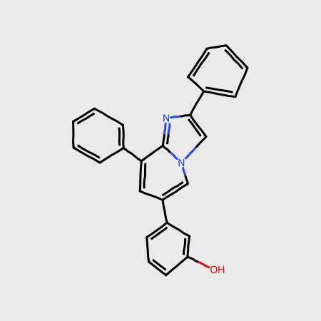 Oc1cccc(-c2cc(-c3ccccc3)c3nc(-c4ccccc4)cn3c2)c1